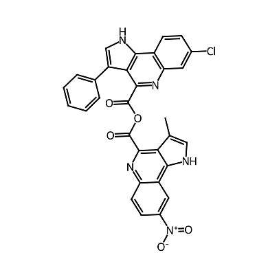 Cc1c[nH]c2c1c(C(=O)OC(=O)c1nc3cc(Cl)ccc3c3[nH]cc(-c4ccccc4)c13)nc1ccc([N+](=O)[O-])cc12